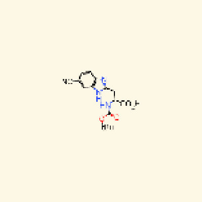 CC(C)(C)OC(=O)N[C@@H](Cc1nc2ccc(C#N)cc2[nH]1)C(=O)O